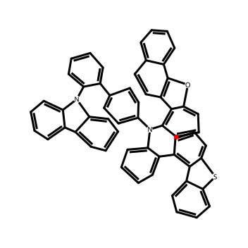 c1ccc(N(c2ccc(-c3ccccc3-n3c4ccccc4c4ccccc43)cc2)c2cccc3oc4c5ccccc5ccc4c23)c(-c2cccc3sc4ccccc4c23)c1